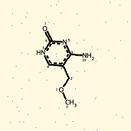 COCc1c[nH]c(=O)nc1N